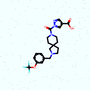 O=C(O)c1cnn(C(=O)N2CCC3(CCN(Cc4cccc(OC(F)(F)F)c4)C3)CC2)c1